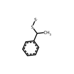 CC(S[S])c1ccccc1